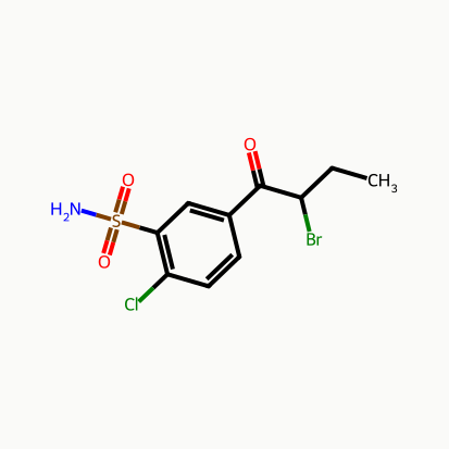 CCC(Br)C(=O)c1ccc(Cl)c(S(N)(=O)=O)c1